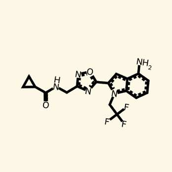 Nc1cccc2c1cc(-c1nc(CNC(=O)C3CC3)no1)n2CC(F)(F)F